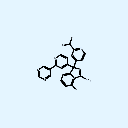 NC1=NC(c2ccnc(-c3cncnc3)c2)(c2ccnc(C(F)F)c2)c2cccc(F)c21